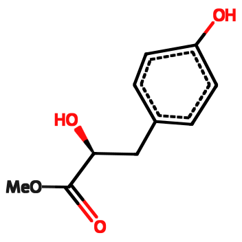 [CH2]OC(=O)[C@@H](O)Cc1ccc(O)cc1